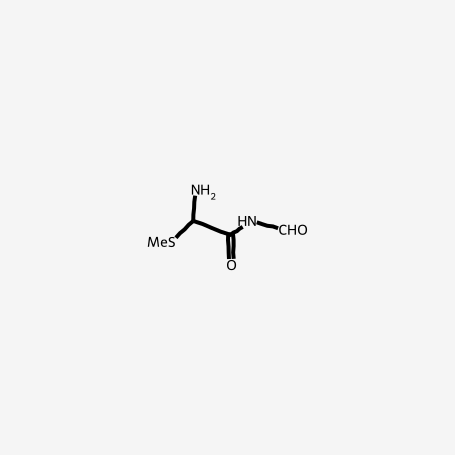 CSC(N)C(=O)NC=O